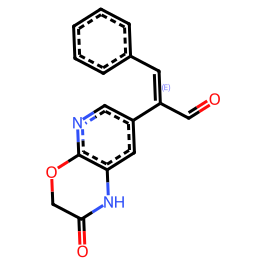 O=C/C(=C/c1ccccc1)c1cnc2c(c1)NC(=O)CO2